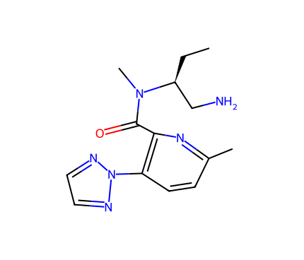 CC[C@@H](CN)N(C)C(=O)c1nc(C)ccc1-n1nccn1